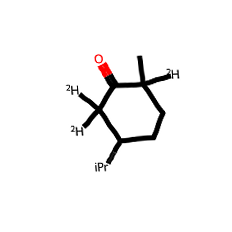 [2H]C1(C)CCC(C(C)C)C([2H])([2H])C1=O